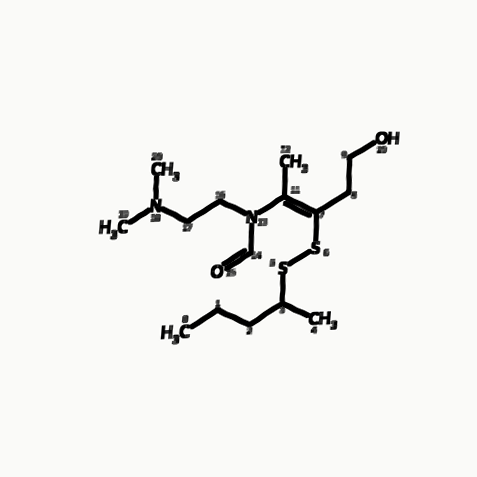 CCCC(C)SSC(CCO)=C(C)N(C=O)CCN(C)C